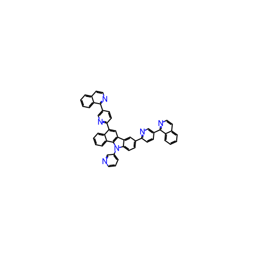 c1cncc(-n2c3ccc(-c4ccc(-c5nccc6ccccc56)cn4)cc3c3cc(-c4ccc(-c5nccc6ccccc56)cn4)c4ccccc4c32)c1